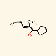 CC/C=C(\C)C(O)C1CCCC1